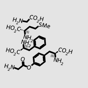 CSCC[C@H](N)C(=O)O.NCC(=O)O.NCC(=O)Oc1ccc(C[C@H](N)C(=O)O)cc1.N[C@@H](Cc1ccccc1)C(=O)O